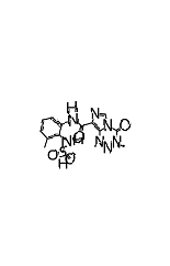 Cc1cccc(NC(=O)c2ncn3c(=O)n(C)nnc23)c1N[SH](=O)=O